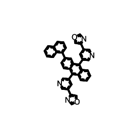 c1ccc2c(-c3ccc4c(-c5cncc(-c6cocn6)c5)c5ccccc5c(-c5cncc(-c6cocn6)c5)c4c3)cccc2c1